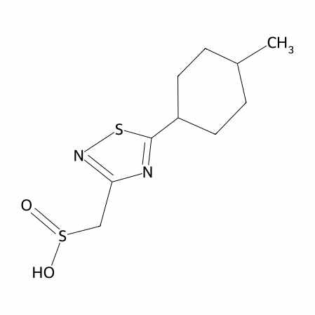 CC1CCC(c2nc(CS(=O)O)ns2)CC1